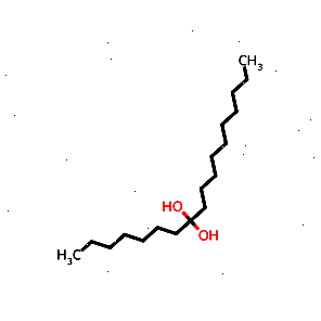 CCCCCCCCCCC(O)(O)CCCCCCC